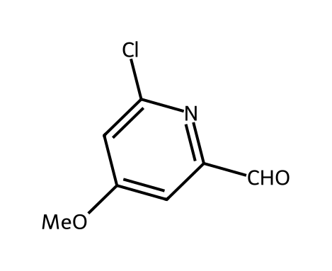 COc1cc(Cl)nc(C=O)c1